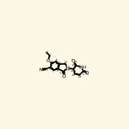 CCOc1cc2c(cc1C#N)C(=O)N(C1CCC(=O)NC1=O)C2